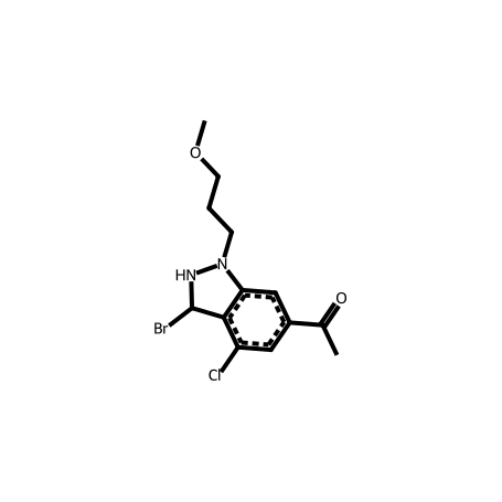 COCCCN1NC(Br)c2c(Cl)cc(C(C)=O)cc21